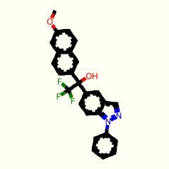 COc1ccc2cc(C(O)(c3ccc4c(cnn4-c4ccccc4)c3)C(F)(F)F)ccc2c1